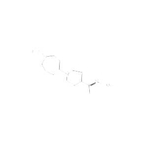 CON=C(C)C1CCN(C2CCCN(C(=O)O)CC2)CC1